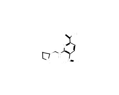 O=C(O)c1ccc([N+](=O)[O-])c(NC[C@@H]2CCO2)n1